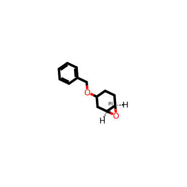 c1ccc(COC2CC[C@H]3O[C@H]3C2)cc1